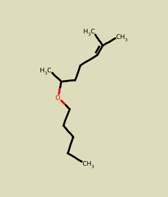 CCCCCOC(C)CCC=C(C)C